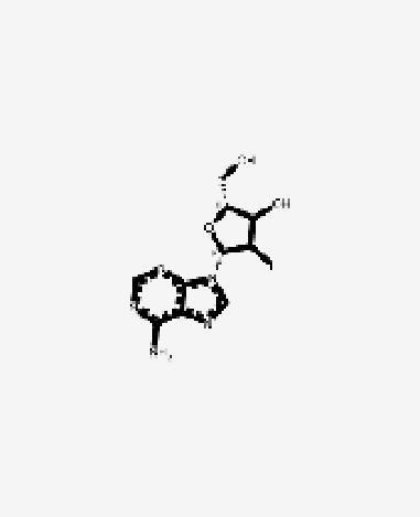 Nc1ncnc2c1ncn2[C@@H]1O[C@H](CO)C(O)C1I